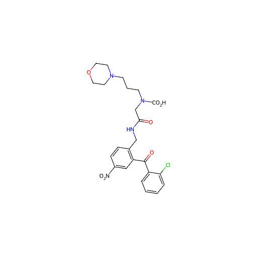 O=C(CN(CCCN1CCOCC1)C(=O)O)NCc1ccc([N+](=O)[O-])cc1C(=O)c1ccccc1Cl